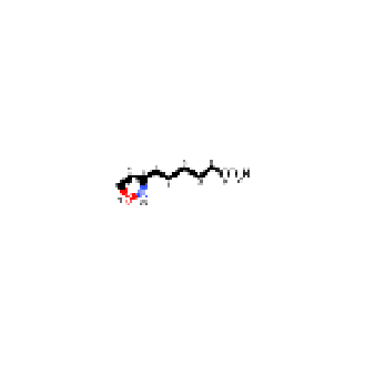 O=C(O)CCCCCc1ccon1